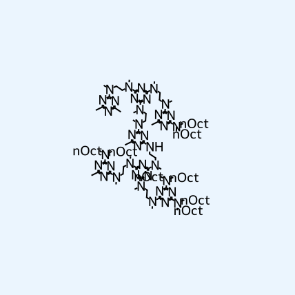 CCCCCCCCN(CCCCCCCC)c1nc(C)nc(N(C)CCN(C)c2nc(N(C)CCN(C)c3nc(C)nc(C)n3)nc(N(C)CCN(C)c3nc(C)nc(NCCN(C)c4nc(N(C)CCN(C)c5nc(C)nc(N(CCCCCCCC)CCCCCCCC)n5)nc(N(C)CCN(C)c5nc(N(CCCCCCCC)CCCCCCCC)nc(N(CCCCCCCC)CCCCCCCC)n5)n4)n3)n2)n1